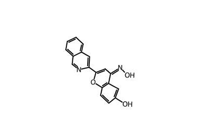 O/N=c1/cc(-c2cc3ccccc3cn2)oc2ccc(O)cc12